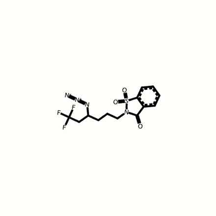 [N-]=[N+]=NC(CCCN1C(=O)c2ccccc2S1(=O)=O)CC(F)(F)F